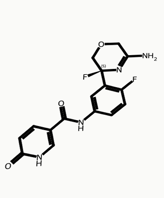 NC1=N[C@](F)(c2cc(NC(=O)c3ccc(=O)[nH]c3)ccc2F)COC1